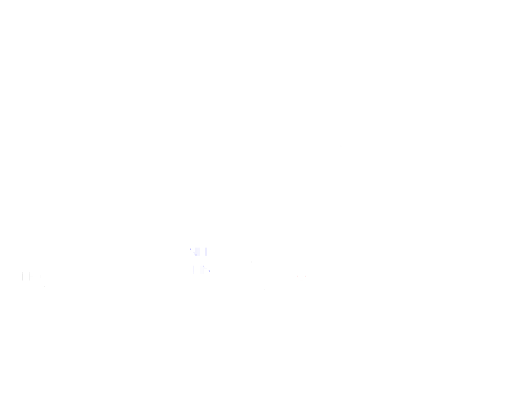 CC(Oc1ccc(C(=O)c2ccc(Cl)cc2)cc1)C(=O)NNc1ccc(C(=O)O)cc1